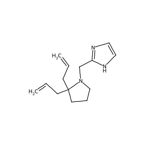 C=CCC1(CC=C)CCCN1Cc1ncc[nH]1